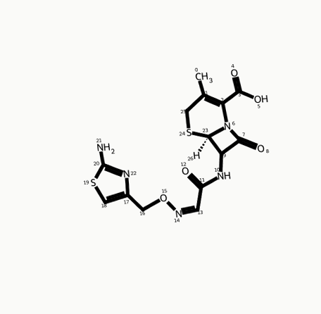 CC1=C(C(=O)O)N2C(=O)C(NC(=O)/C=N\OCc3csc(N)n3)[C@H]2SC1